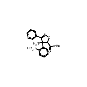 CCCCC(=O)C1ON=C(c2cccnc2)C1(N)c1ccccc1C(=O)O